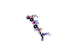 COc1cc(NC(=O)Nc2cccc(CNC(=O)OCCN(CCN)CCC#N)c2)ccc1-c1cnco1